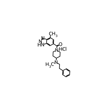 Cc1cc(C(=O)N2CCC(N(C)CCc3ccccc3)CC2)cc2[nH]nnc12.Cl